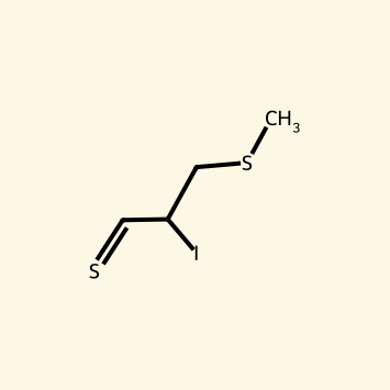 CSCC(I)C=S